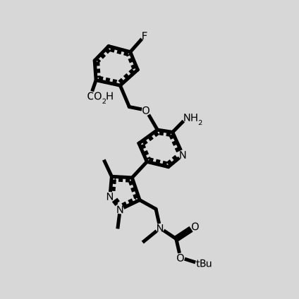 Cc1nn(C)c(CN(C)C(=O)OC(C)(C)C)c1-c1cnc(N)c(OCc2cc(F)ccc2C(=O)O)c1